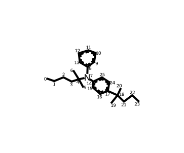 CCCCC(C)(C)N(c1ccccc1)c1ccc(C(C)(C)CCC)cc1